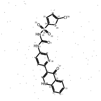 O=C(Nc1ccc(-c2c[nH]c3ccccc3c2=O)nc1)NS(=O)(=O)c1ccc(Cl)s1